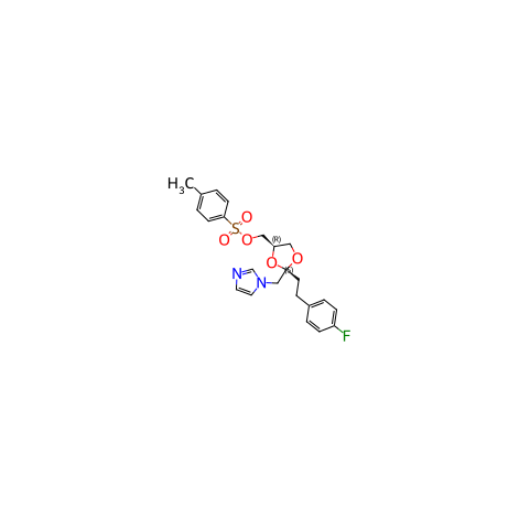 Cc1ccc(S(=O)(=O)OC[C@H]2CO[C@](CCc3ccc(F)cc3)(Cn3ccnc3)O2)cc1